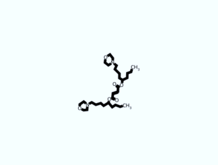 CCCCC(CCCCN1CCOCC1)OC(=O)/C=C/C(=O)OC(CCCC)CCCCN1CCOCC1